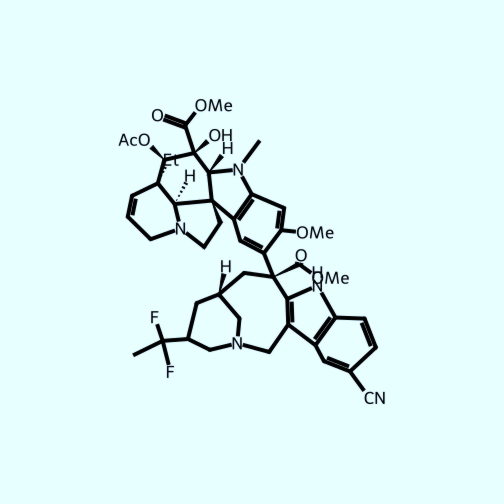 CC[C@]12C=CCN3CC[C@@]4(c5cc([C@@]6(C(=O)OC)C[C@H]7CC(C(C)(F)F)CN(Cc8c6[nH]c6ccc(C#N)cc86)C7)c(OC)cc5N(C)[C@H]4[C@@](O)(C(=O)OC)[C@@H]1OC(C)=O)[C@@H]32